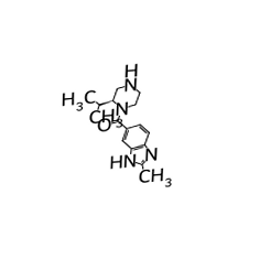 Cc1nc2ccc(C(=O)N3CCNC[C@@H]3C(C)C)cc2[nH]1